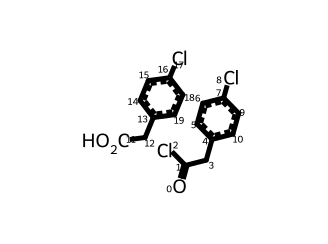 O=C(Cl)Cc1ccc(Cl)cc1.O=C(O)Cc1ccc(Cl)cc1